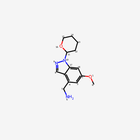 COc1cc(CN)c2cnn(C3CCCCO3)c2c1